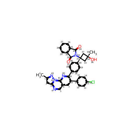 Cc1cc2ncc3cc(-c4ccc(Cl)cc4)c(-c4ccc([C@]5(N6C(=O)c7ccccc7C6=O)C[C@@](C)(O)C5)cc4)nc3n2n1